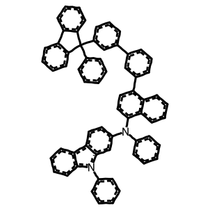 c1ccc(N(c2ccc3c4ccccc4n(-c4ccccc4)c3c2)c2ccc(-c3cccc(-c4cccc(C5(c6ccccc6)c6ccccc6-c6ccccc65)c4)c3)c3ccccc23)cc1